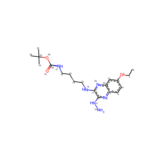 CCOc1ccc2nc(NN)c(NCCCCNC(=O)OC(C)(C)C)nc2c1